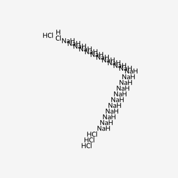 Cl.Cl.Cl.Cl.Cl.[NaH].[NaH].[NaH].[NaH].[NaH].[NaH].[NaH].[NaH].[NaH].[NaH].[NaH].[NaH].[NaH].[NaH].[NaH].[NaH].[NaH].[NaH].[NaH].[NaH].[NaH].[NaH]